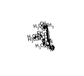 Cc1nc(-c2nc3ncccn3c2-c2cn(COC(=O)OCCN(C)C(=O)OC(C)(C)C)cn2)n(COC(=O)OCCN(C)C(=O)OC(C)(C)C)n1